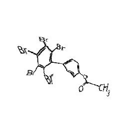 CC(=O)Oc1ccc(-c2c(Br)c(Br)c(Br)c(Br)c2Br)cc1